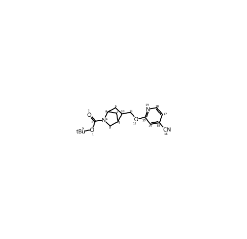 CC(C)(C)OC(=O)N1CC2CC1CC2COc1cc(C#N)ccn1